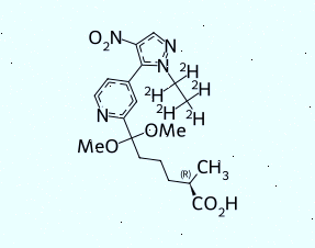 [2H]C([2H])([2H])C([2H])([2H])n1ncc([N+](=O)[O-])c1-c1ccnc(C(CCC[C@@H](C)C(=O)O)(OC)OC)c1